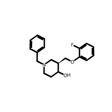 OC1CCN(Cc2ccccc2)C[C@H]1COc1ccccc1F